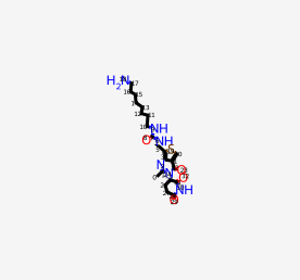 Cc1nc2c(CNC(=O)NCCCCCCCCN)scc2c(=O)n1C1CCC(=O)NC1=O